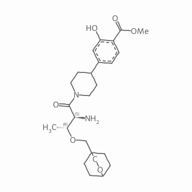 COC(=O)c1ccc(C2CCN(C(=O)[C@@H](N)[C@@H](C)OCC34CCC(CC3)OC4)CC2)cc1O